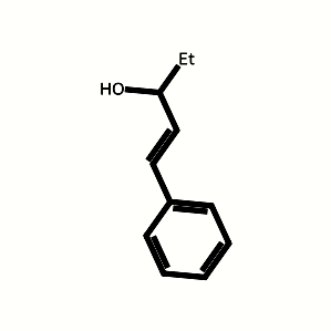 CCC(O)C=Cc1ccccc1